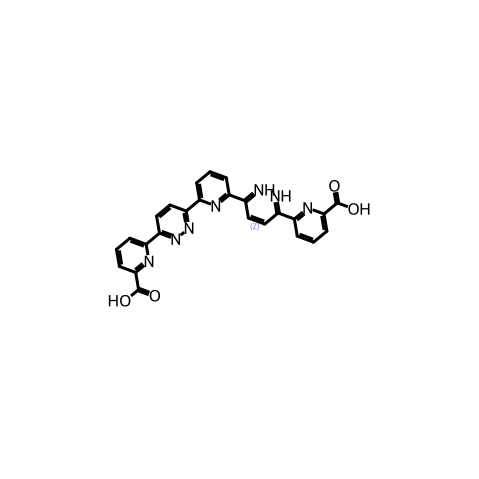 N=C(/C=C\C(=N)c1cccc(-c2ccc(-c3cccc(C(=O)O)n3)nn2)n1)c1cccc(C(=O)O)n1